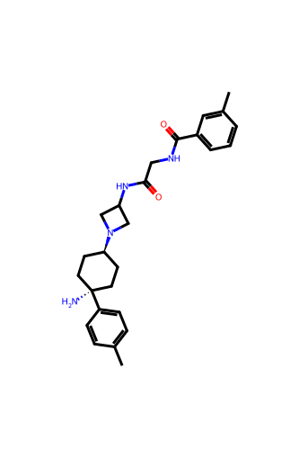 Cc1ccc([C@]2(N)CC[C@H](N3CC(NC(=O)CNC(=O)c4cccc(C)c4)C3)CC2)cc1